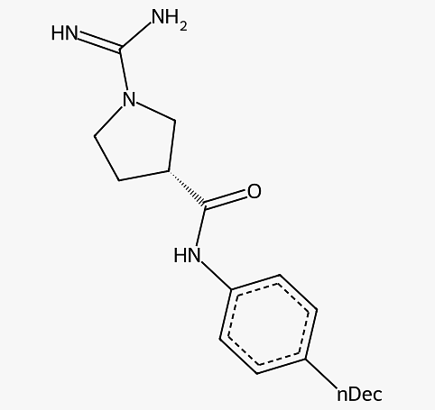 CCCCCCCCCCc1ccc(NC(=O)[C@@H]2CCN(C(=N)N)C2)cc1